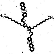 CCCCCCCCCCCCc1cc(-c2cc(CCCCCCCCCCCC)c(-c3ccc(-c4ccc5nc6cc7ccccc7cc6nc5c4)s3)s2)sc1-c1ccc(-c2ccc3nc4cc5ccccc5cc4nc3c2)s1